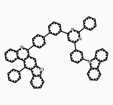 c1ccc(-c2nc(-c3cccc(-c4ccc(-c5nc6ccccc6c6c(-c7ccccc7)c7c(cc56)oc5ccccc57)cc4)c3)cc(-c3cccc(-n4c5ccccc5c5ccccc54)c3)n2)cc1